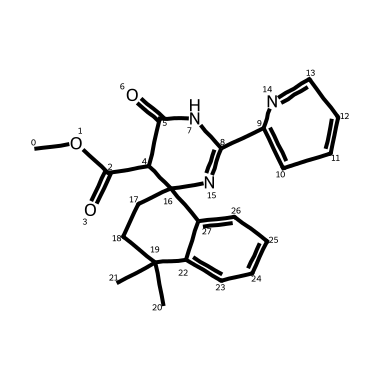 COC(=O)C1C(=O)NC(c2ccccn2)=NC12CCC(C)(C)c1ccccc12